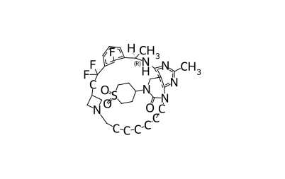 Cc1nc2c3c(n1)N(CCCCCCCN1CC(C1)CC(F)(F)c1cccc(c1F)[C@@H](C)N2)C(=O)N(C1CCS(=O)(=O)CC1)C3